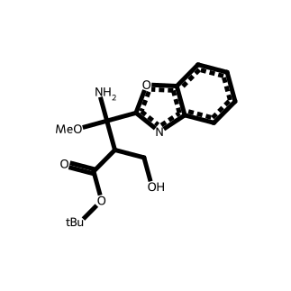 COC(N)(c1nc2ccccc2o1)C(CO)C(=O)OC(C)(C)C